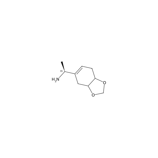 C[C@H](N)C1=CCC2OCOC2C1